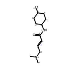 CCC1CCC(NC(=O)/C=C/CN(C)C)CC1